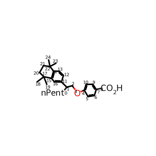 CCCCCC(COc1ccc(C(=O)O)cc1)c1ccc2c(c1)C(C)(C)CCC2(C)C